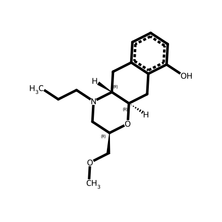 CCCN1C[C@H](COC)O[C@@H]2Cc3c(O)cccc3C[C@H]21